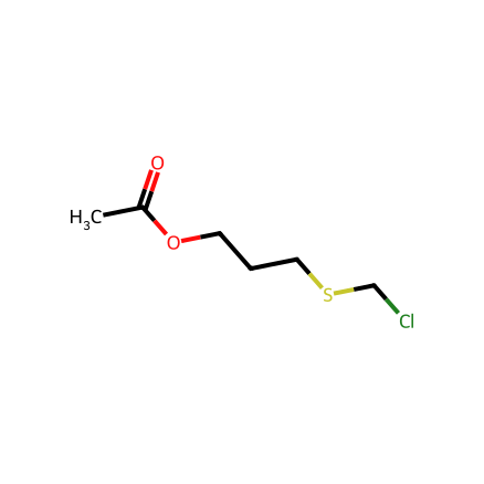 CC(=O)OCCCSCCl